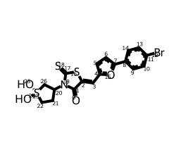 O=C1C(=Cc2ccc(-c3ccc(Br)cc3)o2)SC(=S)N1C1CCS(O)(O)C1